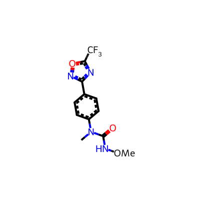 CONC(=O)N(C)c1ccc(-c2noc(C(F)(F)F)n2)cc1